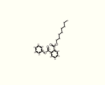 CCCCCCCCOC(=O)c1ccccc1C(=O)Oc1ccccc1